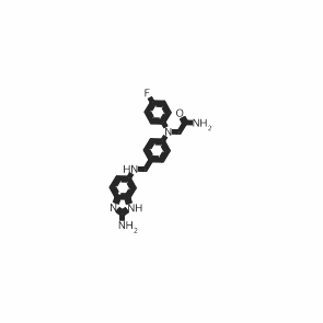 NC(=O)CN(c1ccc(F)cc1)c1ccc(CNc2ccc3nc(N)[nH]c3c2)cc1